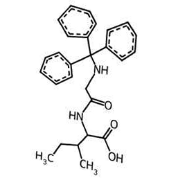 CCC(C)C(NC(=O)CNC(c1ccccc1)(c1ccccc1)c1ccccc1)C(=O)O